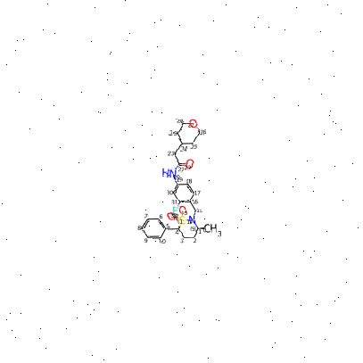 C[C@H]1CCC(c2ccccc2)S(=O)(=O)N1Cc1ccc(NC(=O)CC2CCOCC2)cc1F